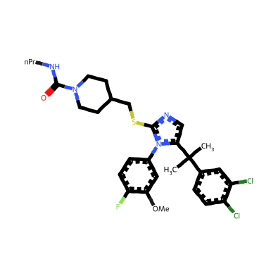 CCCNC(=O)N1CCC(CSc2ncc(C(C)(C)c3ccc(Cl)c(Cl)c3)n2-c2ccc(F)c(OC)c2)CC1